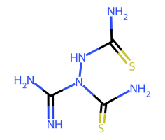 N=C(N)N(NC(N)=S)C(N)=S